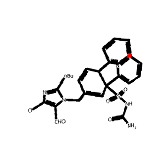 CCCCc1nc(Cl)c(C=O)n1CC1=CC(c2ccccn2)(S(=O)(=O)NC(N)=O)C(c2ccccc2)C=C1